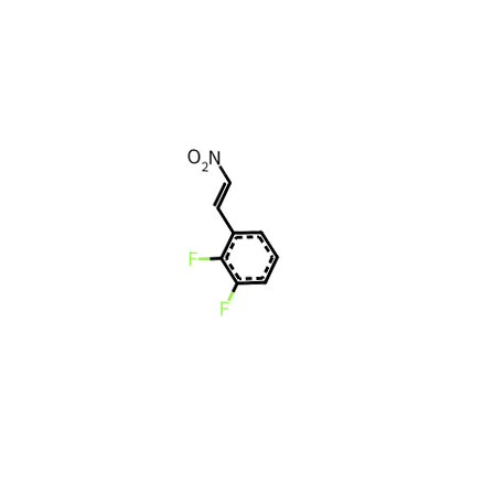 O=[N+]([O-])C=Cc1cccc(F)c1F